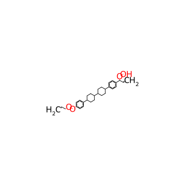 C=CCOOc1ccc(C2CCC(C3CCC(c4ccc(C(C=C)OO)cc4)CC3)CC2)cc1